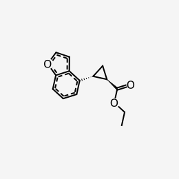 CCOC(=O)[C@@H]1C[C@H]1c1cccc2occc12